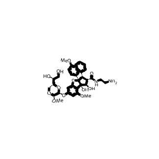 COc1ccc([C@@]23Oc4cc(O[C@@H]5O[C@@H]([C@H](O)CO)CO[C@H]5OC)cc(OC)c4[C@]2(O)[C@H](O)[C@H](C(=O)NCCN)[C@H]3c2ccccc2)cc1